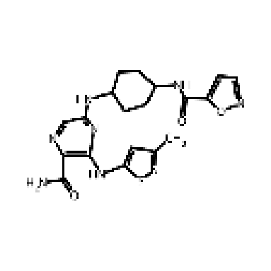 Cc1cc(Nc2nc(NC3CCC(NC(=O)c4ccno4)CC3)cnc2C(N)=O)sn1